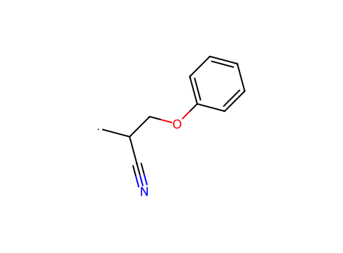 [CH2]C(C#N)COc1ccccc1